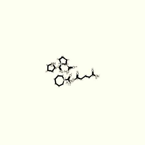 NC(=O)N1CCCCCC1.O=C(O)CCCC(=O)O.O=C(O)[C@@H]1CCCN1C(=O)[C@@H]1CCCN1